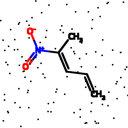 C=C/C=C(\C)[N+](=O)[O-]